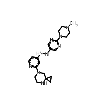 CN1CCN(c2ncc(NNc3ccnc(N4CCNC5(CC5)C4)c3)cn2)CC1